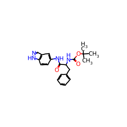 CC(C)(C)OC(=O)NC(Cc1ccccc1)C(=O)Nc1ccc2[nH]ncc2c1